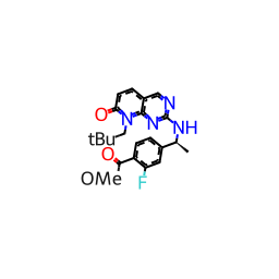 COC(=O)c1ccc([C@H](C)Nc2ncc3ccc(=O)n(CC(C)(C)C)c3n2)cc1F